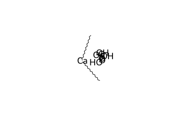 CCCCCCCCCCCCC[CH2][Ca][CH2]CCCCCCCCCCCCC.O=C(O)CC(C(=O)O)S(=O)(=O)O